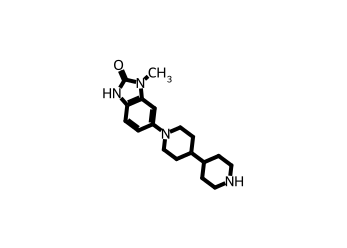 Cn1c(=O)[nH]c2ccc(N3CCC(C4CCNCC4)CC3)cc21